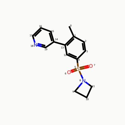 Cc1ccc(S(=O)(=O)N2CCC2)cc1-c1cccnc1